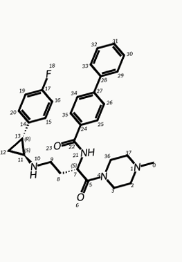 CN1CCN(C(=O)[C@H](CCN[C@H]2C[C@@H]2c2ccc(F)cc2)NC(=O)c2ccc(-c3ccccc3)cc2)CC1